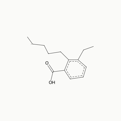 C[CH]CCCc1c(CC)cccc1C(=O)O